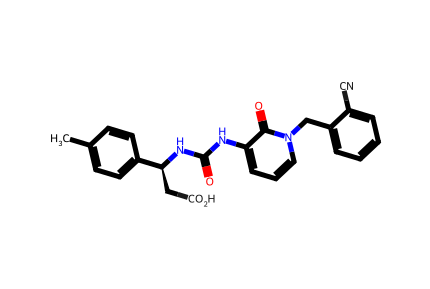 Cc1ccc([C@H](CC(=O)O)NC(=O)Nc2cccn(Cc3ccccc3C#N)c2=O)cc1